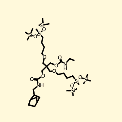 CCNC(=O)OCC(COCCCC[Si](C)(O[Si](C)(C)C)O[Si](C)(C)C)(COCCCC[Si](C)(O[Si](C)(C)C)O[Si](C)(C)C)COC(=O)NCC1CC2CCC1C2